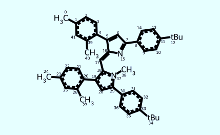 Cc1ccc(C2=CC(c3ccc(C(C)(C)C)cc3)=N/C2=C\c2c(-c3ccc(C)cc3C)cc(-c3ccc(C(C)(C)C)cc3)n2C)c(C)c1